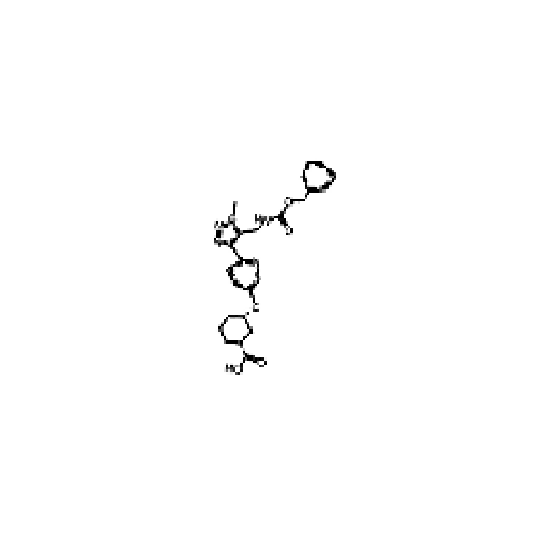 Cn1nnc(-c2ccc(O[C@H]3CCC[C@H](C(=O)O)C3)cn2)c1CNC(=O)OCc1ccccc1